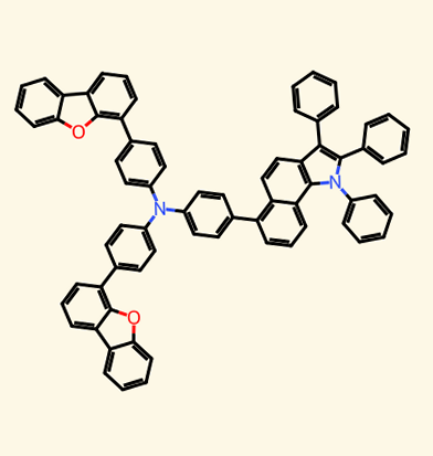 c1ccc(-c2c(-c3ccccc3)n(-c3ccccc3)c3c2ccc2c(-c4ccc(N(c5ccc(-c6cccc7c6oc6ccccc67)cc5)c5ccc(-c6cccc7c6oc6ccccc67)cc5)cc4)cccc23)cc1